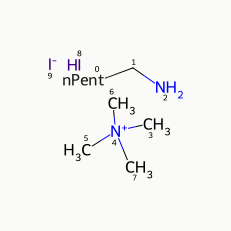 CCCCCCN.C[N+](C)(C)C.I.[I-]